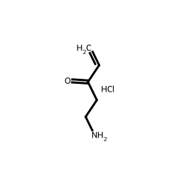 C=CC(=O)CCN.Cl